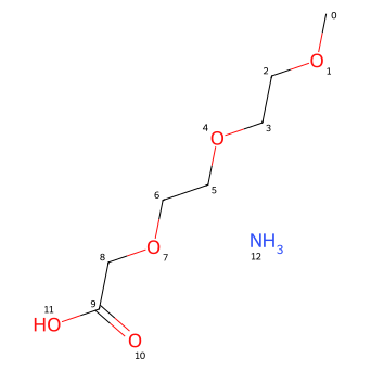 COCCOCCOCC(=O)O.N